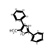 [CH2]c1oc(-c2ccccc2)nc1-c1ccccc1